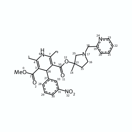 COC(=O)C1=C(C)NC(C)=C(C(=O)OC2(C)CCN(Cc3ccccn3)C2)C1c1cccc([N+](=O)[O-])c1